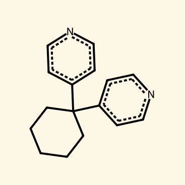 c1cc(C2(c3ccncc3)CCCCC2)ccn1